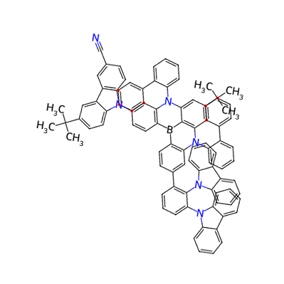 CC(C)(C)c1cc2c3c(c1)N(c1ccccc1-c1ccccc1)c1cc(-n4c5ccc(C#N)cc5c5cc(C(C)(C)C)ccc54)ccc1B3c1ccc(-c3cccc(-n4c5ccccc5c5ccccc54)c3-n3c4ccccc4c4ccccc43)cc1N2c1ccccc1-c1ccccc1